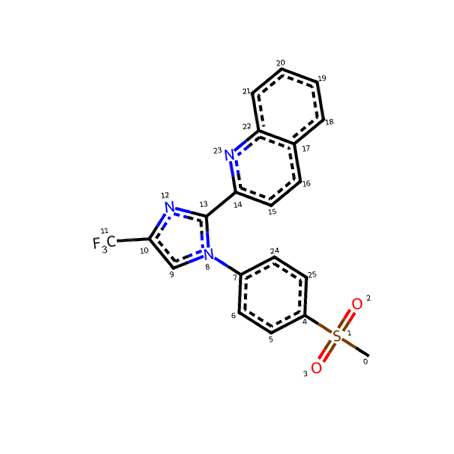 CS(=O)(=O)c1ccc(-n2cc(C(F)(F)F)nc2-c2ccc3ccccc3n2)cc1